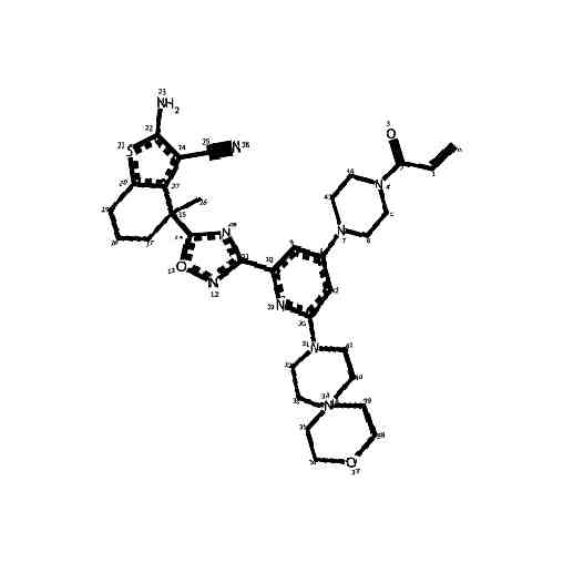 C=CC(=O)N1CCN(c2cc(-c3noc(C4(C)CCCc5sc(N)c(C#N)c54)n3)nc(N3CC[N+]4(CCOCC4)CC3)c2)CC1